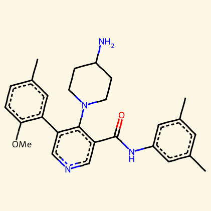 COc1ccc(C)cc1-c1cncc(C(=O)Nc2cc(C)cc(C)c2)c1N1CCC(N)CC1